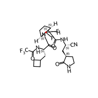 N#C[C@H](C[C@H]1CCNC1=O)NC(=O)[C@@H]1[C@@H]2CC[C@@H](CC2(F)F)N1C(=O)[C@H](CC1CCC1)NC(=O)C(F)(F)F